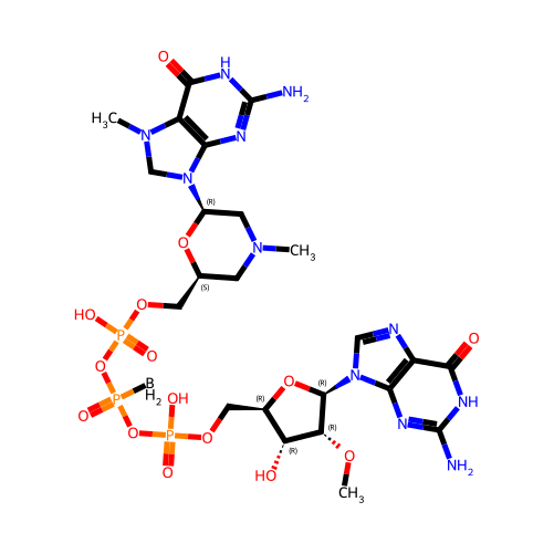 BP(=O)(OP(=O)(O)OC[C@@H]1CN(C)C[C@H](N2CN(C)c3c2nc(N)[nH]c3=O)O1)OP(=O)(O)OC[C@H]1O[C@@H](n2cnc3c(=O)[nH]c(N)nc32)[C@H](OC)[C@@H]1O